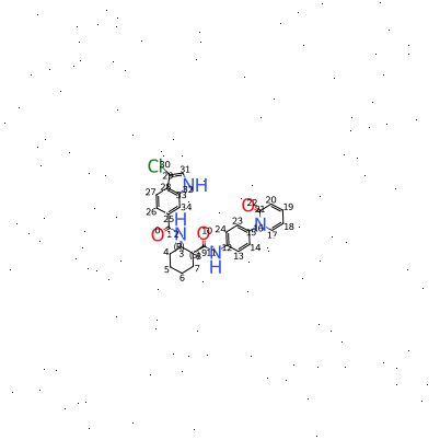 O=C(N[C@@H]1CCCC[C@@H]1C(=O)Nc1ccc(-n2ccccc2=O)cc1)c1ccc2c(Cl)c[nH]c2c1